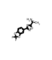 C[C@H](N)c1nc(-c2ccc3c(c2)OC(F)(F)O3)no1